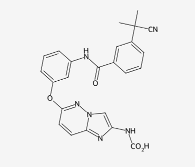 CC(C)(C#N)c1cccc(C(=O)Nc2cccc(Oc3ccc4nc(NC(=O)O)cn4n3)c2)c1